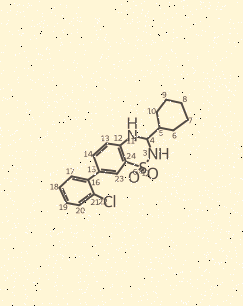 O=S1(=O)NC(C2CCCCC2)Nc2ccc(-c3ccccc3Cl)cc21